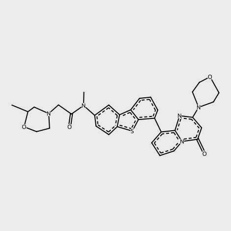 CC1CN(CC(=O)N(C)c2ccc3sc4c(-c5cccn6c(=O)cc(N7CCOCC7)nc56)cccc4c3c2)CCO1